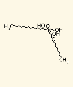 CCCCCCCCCCCCCC(O)CC(=O)N(CCO)CC(O)COCCCCCCCCC